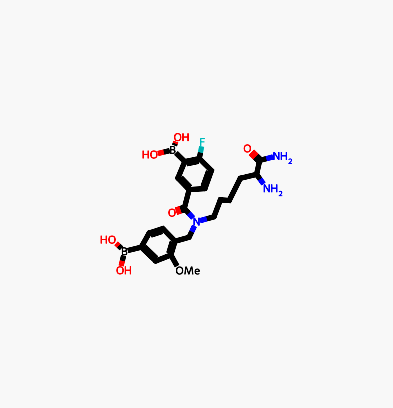 COc1cc(B(O)O)ccc1CN(CCCCC(N)C(N)=O)C(=O)c1ccc(F)c(B(O)O)c1